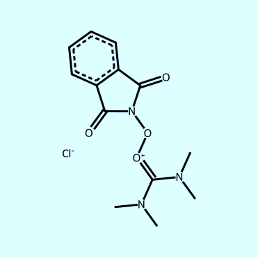 CN(C)C(=[O+]ON1C(=O)c2ccccc2C1=O)N(C)C.[Cl-]